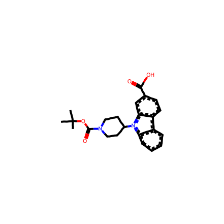 CC(C)(C)OC(=O)N1CCC(n2c3ccccc3c3ccc(C(=O)O)cc32)CC1